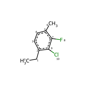 CCc1ccc(C)c(F)c1Cl